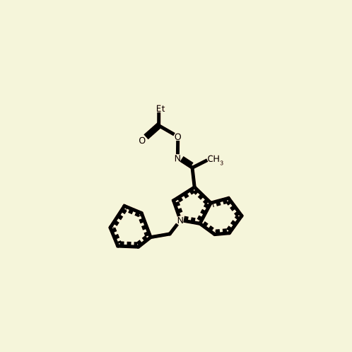 CCC(=O)O/N=C(\C)c1cn(Cc2ccccc2)c2ccccc12